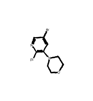 CCc1ncc(Br)cc1N1CCOCC1